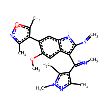 C=Nc1[nH]c2cc(-c3c(C)noc3C)c(OC)cc2c1/C(=N\C)c1c(C)nn(C)c1C